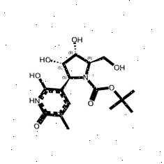 Cc1cc([C@H]2[C@H](O)[C@H](O)[C@@H](CO)N2C(=O)OC(C)(C)C)c(O)[nH]c1=O